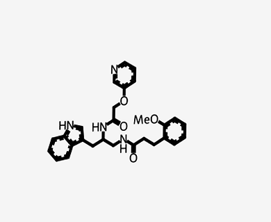 COc1ccccc1CCC(=O)NCC(Cc1c[nH]c2ccccc12)NC(=O)COc1cccnc1